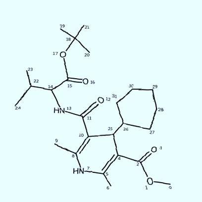 COC(=O)C1=C(C)NC(C)=C(C(=O)NC(C(=O)OC(C)(C)C)C(C)C)C1C1CCCCC1